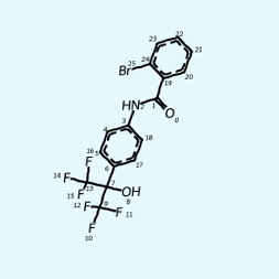 O=C(Nc1ccc(C(O)(C(F)(F)F)C(F)(F)F)cc1)c1ccccc1Br